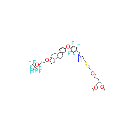 CCOCC(CCCOCCSSCCCNCc1c(F)c(F)c(Oc2ccc3c(c2)CCC2C3CCC3(C)C(OCCCOC(C(F)(F)F)(C(F)(F)F)C(F)(F)F)CCC23)c(F)c1F)COC(C)C